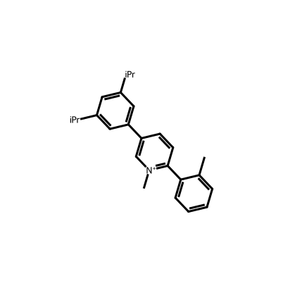 Cc1ccccc1-c1ccc(-c2cc(C(C)C)cc(C(C)C)c2)c[n+]1C